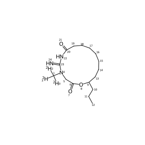 [2H]C([2H])([2H])N1CC(=O)OC(CCC)CCCCCCCC(=O)NC1=N